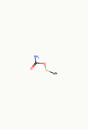 CCCSOC(N)=O